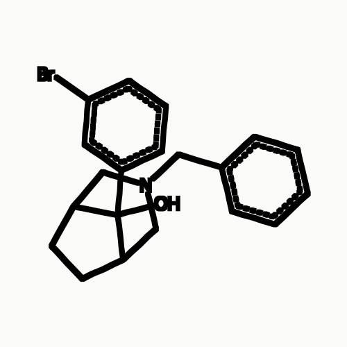 OC1(c2cccc(Br)c2)C2CCC1CN(Cc1ccccc1)C2